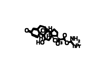 CCCC(N)OC(=O)C(=O)[C@H]1CC[C@H]2[C@@H]3CCC4=CC(=O)C=C[C@]4(C)[C@H]3C(O)C[C@]12C